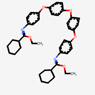 CCO/C(=N\c1ccc(Oc2ccc(Oc3ccc(Oc4ccc(/N=C(\OCC)C5CCCCC5)cc4)cc3)cc2)cc1)C1CCCCC1